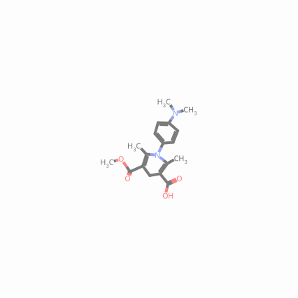 COC(=O)C1=C(C)N(c2ccc(N(C)C)cc2)C(C)=C(C(=O)O)C1